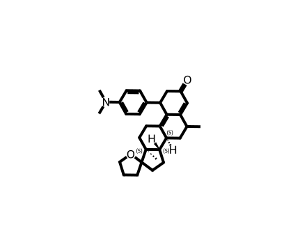 CC1C[C@@H]2C(=C3C1=CC(=O)CC3c1ccc(N(C)C)cc1)CC[C@@]1(C)[C@H]2CCC12CCCO2